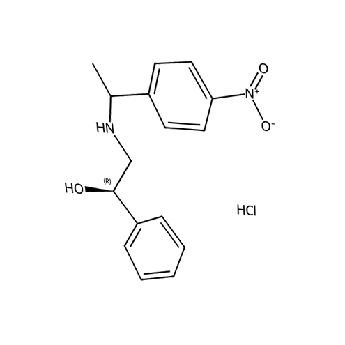 CC(NC[C@H](O)c1ccccc1)c1ccc([N+](=O)[O-])cc1.Cl